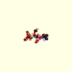 COc1ccc(COC(=O)C2(CSc3cc(=O)c4cc(OC(=O)OC(C)(C)C)c(OC(=O)OC(C)(C)C)c(Br)c4s3)CS[C@@H]3C(NC(=O)C(=NOCC(=O)OC(C)(C)C)c4csc(NC(c5ccccc5)(c5ccccc5)c5ccccc5)n4)C(=O)N3C2)cc1